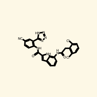 N#Cc1ccc(NC(=O)c2cc3cccc(NC(=O)Cc4c(Cl)cccc4Cl)c3[nH]2)c(-c2nnn[nH]2)c1